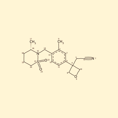 Cc1cc(C2(CC#N)COC2)ccc1CN1[C@@H](C)CCCS1(=O)=O